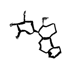 CCC[C@@H]1CCc2c(ccc3ccccc23)[C@H]1c1cc(F)c(Cl)c(F)c1